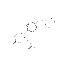 O=C1CCC(c2ccc(OC3CCNCC3)cc2)N(OC(=O)C(F)(F)F)N1